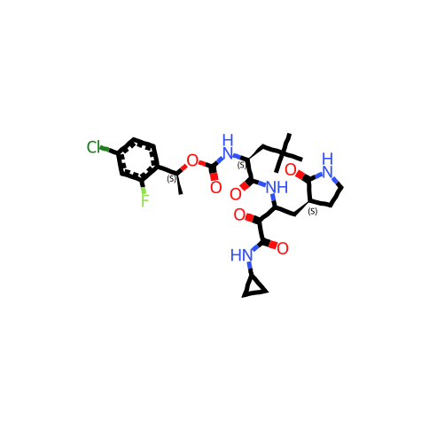 C[C@H](OC(=O)N[C@@H](CC(C)(C)C)C(=O)NC(C[C@@H]1CCNC1=O)C(=O)C(=O)NC1CC1)c1ccc(Cl)cc1F